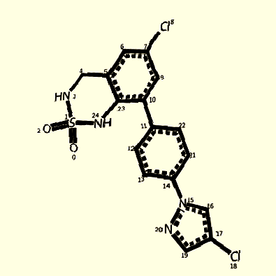 O=S1(=O)NCc2cc(Cl)cc(-c3ccc(-n4cc(Cl)cn4)cc3)c2N1